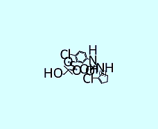 CC(C)(CO)S(=O)(=O)c1c(Cl)ccc(NC(=O)N[C@H]2CCC=C2Cl)c1O